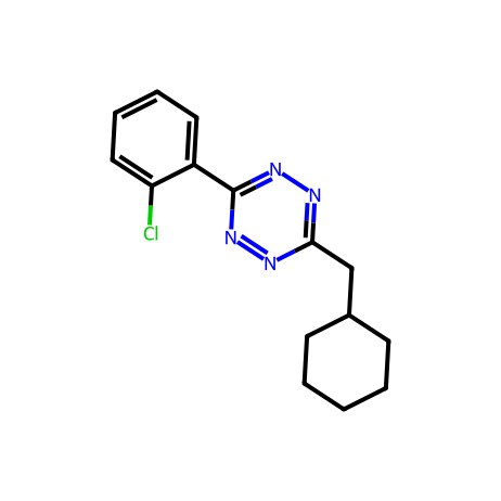 Clc1ccccc1-c1nnc(CC2CCCCC2)nn1